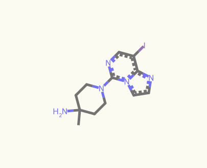 CC1(N)CCN(c2ncc(I)c3nccn23)CC1